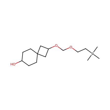 C[Si](C)(C)CCOCOC1CC2(CCC(O)CC2)C1